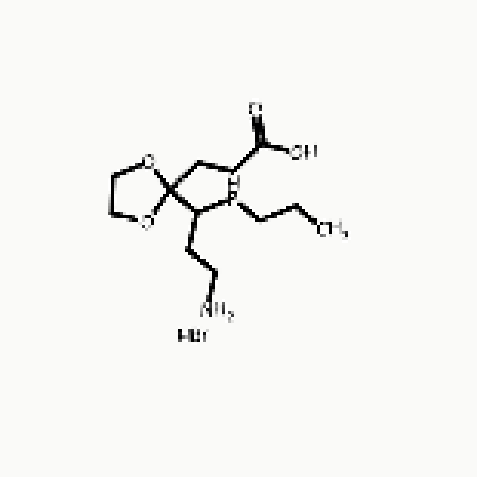 Br.CCCPC(CCN)C1(CCC(=O)O)OCCO1